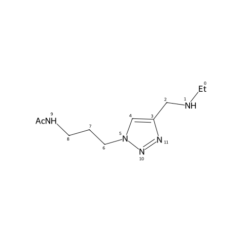 CCNCc1cn(CCCNC(C)=O)nn1